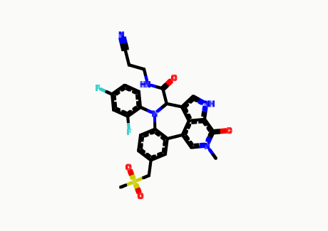 Cn1cc2c3c(c[nH]c3c1=O)C(C(=O)NCCC#N)N(c1ccc(F)cc1F)c1ccc(CS(C)(=O)=O)cc1-2